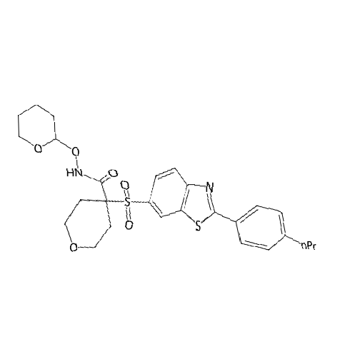 CCCc1ccc(-c2nc3ccc(S(=O)(=O)C4(C(=O)NOC5CCCCO5)CCOCC4)cc3s2)cc1